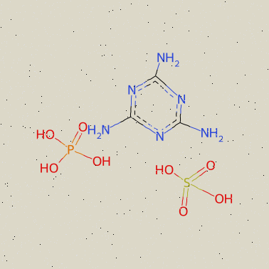 Nc1nc(N)nc(N)n1.O=P(O)(O)O.O=S(=O)(O)O